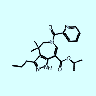 CCCc1n[nH]c2c1C(C)(C)CN(C(=O)c1ccccn1)C=C2C(=O)OC(C)C